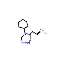 C=CCC1CNCCN1C1CCCCC1